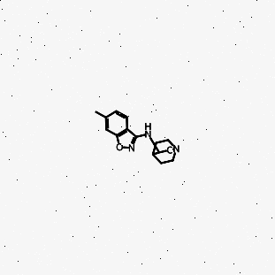 Cc1ccc2c(NC3CN4CCC3CC4)noc2c1